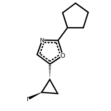 I[C@@H]1C[C@H]1c1cnc(C2CCCC2)o1